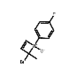 CC1(Br)C=C[N+]1([O-])c1ccc(F)cc1